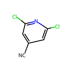 N#Cc1cc(Cl)nc(Cl)c1